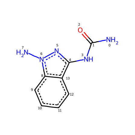 NC(=O)Nc1nn(N)c2ccccc12